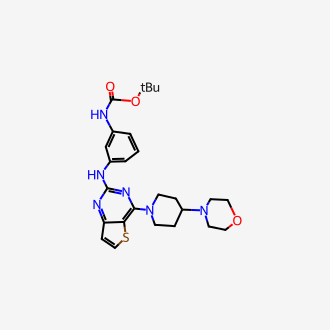 CC(C)(C)OC(=O)Nc1cccc(Nc2nc(N3CCC(N4CCOCC4)CC3)c3sccc3n2)c1